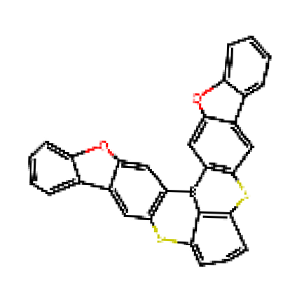 c1cc2c3c(c1)Sc1cc4c(cc1B3c1cc3oc5ccccc5c3cc1S2)oc1ccccc14